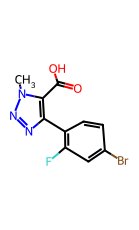 Cn1nnc(-c2ccc(Br)cc2F)c1C(=O)O